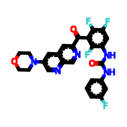 O=C(Nc1cccc(F)c1)Nc1cc(F)c(F)c(C(=O)c2cc3cc(N4CCOCC4)cnc3cn2)c1F